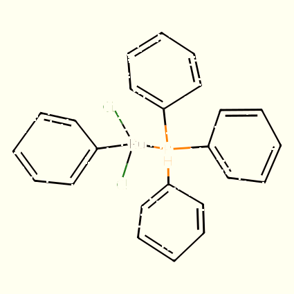 [Cl][Ru]([Cl])([c]1ccccc1)[PH](c1ccccc1)(c1ccccc1)c1ccccc1